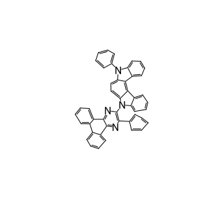 c1ccc(-c2nc3c4ccccc4c4ccccc4c3nc2-n2c3ccccc3c3c4c5ccccc5n(-c5ccccc5)c4ccc32)cc1